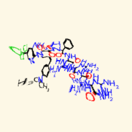 CN(C)c1ccc(/C=C\CN(c2ncc(C(Cl)(Cl)Cl)cc2N)C(O)C(=O)NC(C(=O)NC(NC(=N)N)C(=O)NC(NC(=N)N)C(=O)NC(NC(=N)N)C(=O)NC(NC(=N)N)C(N)=O)c2ccccc2)cc1